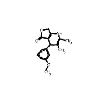 COc1cccc(C2C(C)=C(C)NC3=C2C(=O)OC3)c1